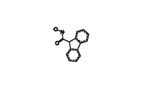 [O][N]C(=O)C1c2ccccc2-c2ccccc21